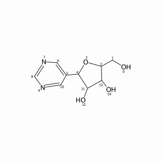 OCC1OC(c2cncnc2)C(O)C1O